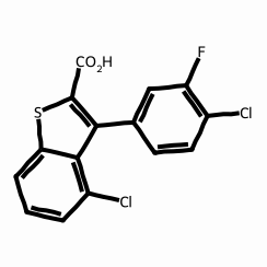 O=C(O)c1sc2cccc(Cl)c2c1-c1ccc(Cl)c(F)c1